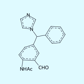 CC(=O)Nc1ccc(C(c2ccccc2)n2ccnc2)cc1C=O